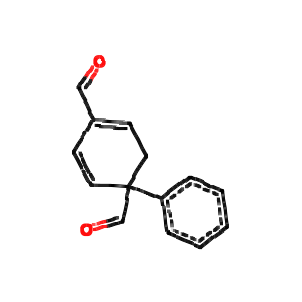 O=CC1=CCC(C=O)(c2ccccc2)C=C1